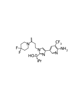 C=C(CCn1cc(-c2cnc(N)c(C(F)(F)F)c2)nc1[C@H](O)C(C)C)N1CCC(F)(F)CC1